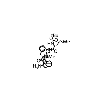 COC(=O)C12CC3CC(CC(N)(C3)C1C(=O)[C@H](Cc1ccccc1)NC(=O)CNC(=O)[C@@H](CCSC)NC(=O)OC(C)(C)C)C2